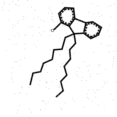 CCCCCCCCC1(CCCCCCCC)c2ccccc2-c2cccc(Cl)c21